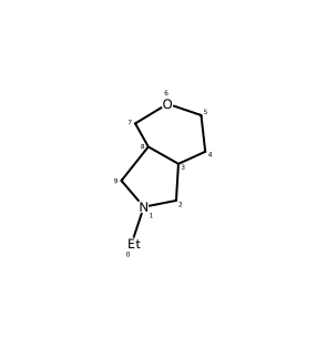 CCN1CC2CCOCC2C1